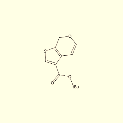 CC(C)(C)OC(=O)c1csc2c1C=COC2